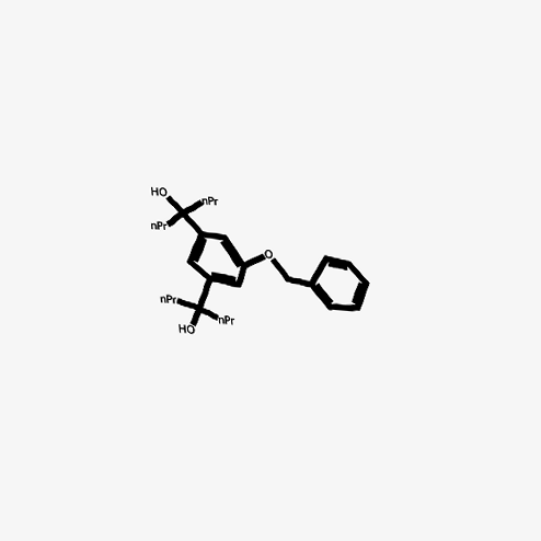 CCCC(O)(CCC)c1cc(OCc2ccccc2)cc(C(O)(CCC)CCC)c1